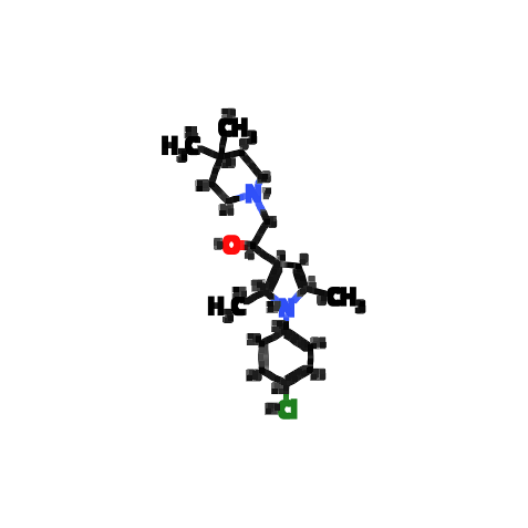 Cc1cc(C(=O)CN2CCC(C)(C)CC2)c(C)n1-c1ccc(Cl)cc1